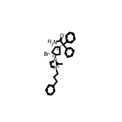 Cc1n([C@H]2CC[C@H](C(C(N)=O)(c3ccccc3)c3ccccc3)C2)cc[n+]1CCCc1ccccc1.[Br-]